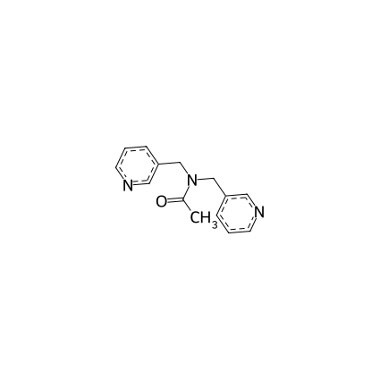 CC(=O)N(Cc1cccnc1)Cc1cccnc1